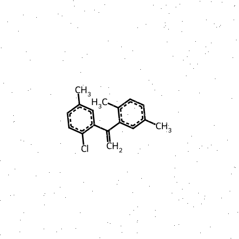 C=C(c1cc(C)ccc1C)c1cc(C)ccc1Cl